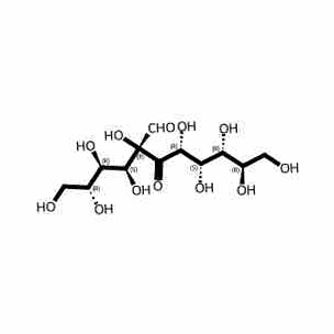 O=C[C@@](O)(C(=O)[C@H](O)[C@@H](O)[C@H](O)[C@H](O)CO)[C@@H](O)[C@H](O)[C@H](O)CO